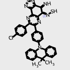 CC1(C)c2ccccc2N(c2ccc(-c3nc4c(nc3-c3ccc(Cl)cc3)-c3nsnc3C(=N)/C4=N\S)cc2)c2ccccc21